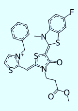 COC(=O)CCn1c(=O)/c(=C2\Sc3cc(F)ccc3N2C)s/c1=C\c1scc[n+]1Cc1ccccc1